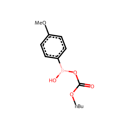 CCCCOC(=O)OB(O)c1ccc(OC)cc1